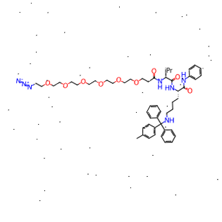 Cc1ccc(C(NCCCC[C@H](NC(=O)[C@@H](NC(=O)CCOCCOCCOCCOCCOCCOCCN=[N+]=[N-])C(C)C)C(=O)Nc2cc[c]cc2)(c2ccccc2)c2ccccc2)cc1